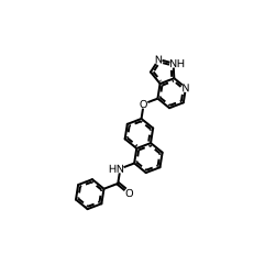 O=C(Nc1cccc2cc(Oc3ccnc4[nH]ncc34)ccc12)c1ccccc1